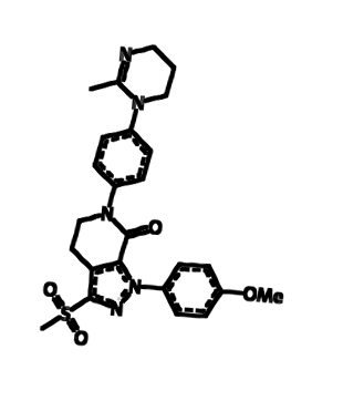 COc1ccc(-n2nc(S(C)(=O)=O)c3c2C(=O)N(c2ccc(N4CCCN=C4C)cc2)CC3)cc1